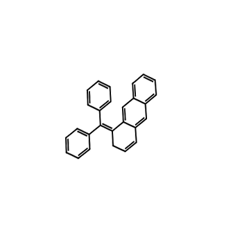 C1=Cc2cc3ccccc3cc2C(=C(c2ccccc2)c2ccccc2)C1